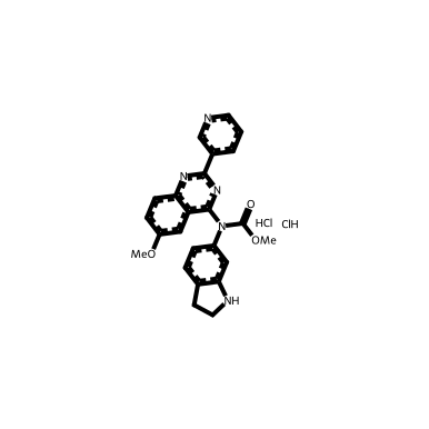 COC(=O)N(c1ccc2c(c1)NCC2)c1nc(-c2cccnc2)nc2ccc(OC)cc12.Cl.Cl